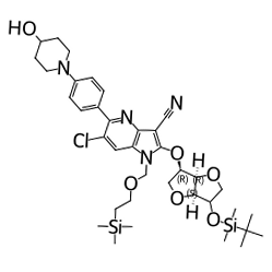 CC(C)(C)[Si](C)(C)OC1CO[C@H]2[C@@H]1OC[C@H]2Oc1c(C#N)c2nc(-c3ccc(N4CCC(O)CC4)cc3)c(Cl)cc2n1COCC[Si](C)(C)C